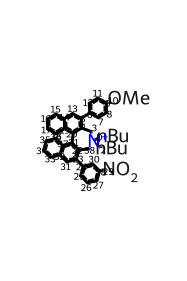 CCCC[N+]1(CCCC)Cc2c(-c3ccc(OC)cc3)cc3ccccc3c2-c2c(c(-c3cccc([N+](=O)[O-])c3)cc3ccccc23)C1